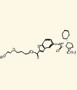 COCCOCCCOC(=O)c1cc2cc(NC(=O)[C@@H]3[C@H](C4CCCCC4)CCN3C(=O)O)ccc2o1